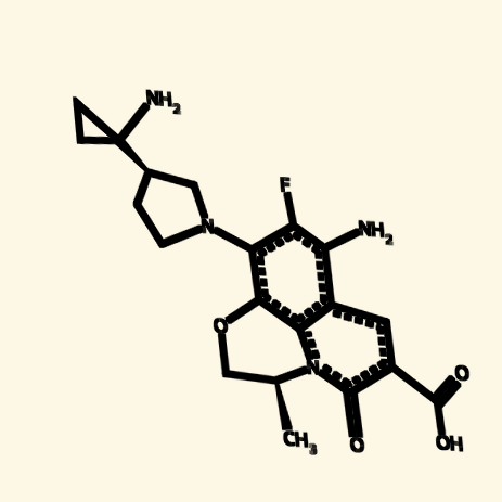 C[C@H]1COc2c(N3CC[C@@H](C4(N)CC4)C3)c(F)c(N)c3cc(C(=O)O)c(=O)n1c23